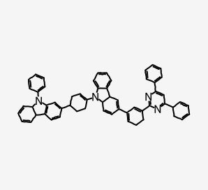 C1=CCC(c2cc(-c3ccccc3)nc(C3=CC(C4=CC5c6ccccc6N(C6=CCC(c7ccc8c(c7)N(c7ccccc7)C7C=CC=CC87)CC6)C5C=C4)=CCC3)n2)C=C1